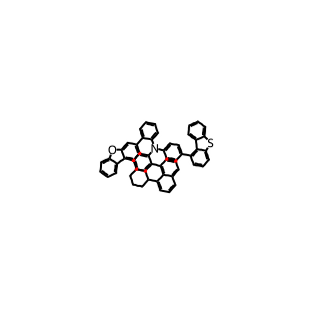 c1ccc(N(c2ccc(-c3cccc4sc5ccccc5c34)cc2)c2ccccc2-c2cccc3cccc(C4CCCCC4)c23)c(-c2ccc3c(c2)oc2ccccc23)c1